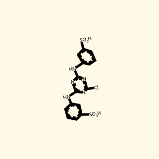 O=S(=O)(O)c1[c]ccc(Nc2nc(Cl)nc(Nc3cccc(S(=O)(=O)O)c3)n2)c1